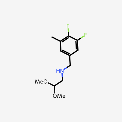 COC(CNCc1cc(C)c(F)c(F)c1)OC